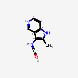 Cc1[nH]c2ccncc2c1N=C=O